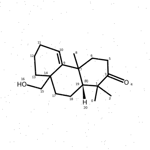 CC1(C)C(=O)CCC2(C)C3=CCCCC3(CO)CC[C@@H]12